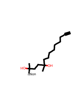 C#CCCCCCCCC(C)(O)CCC(C)(O)CCCCCCCCC